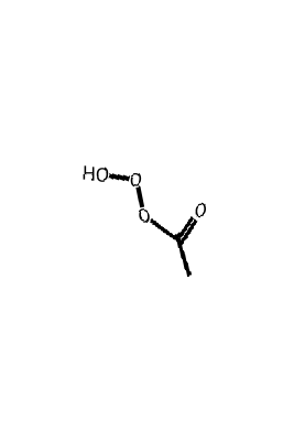 CC(=O)OOO